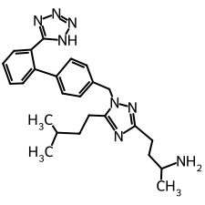 CC(C)CCc1nc(CCC(C)N)nn1Cc1ccc(-c2ccccc2-c2nnn[nH]2)cc1